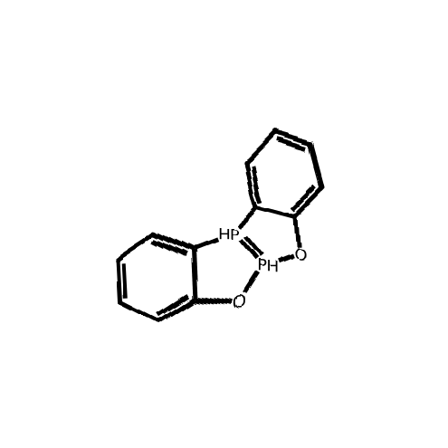 c1ccc2c(c1)O[PH]1=[PH]2c2ccccc2O1